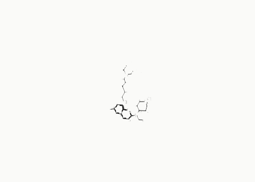 CCN(CC)CCCCCNc1cc(O)cc2ccc(N(CC)C3CCN(C)CC3)nc12